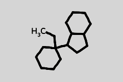 CCC1(C2CCC3CCCCC32)CCCCC1